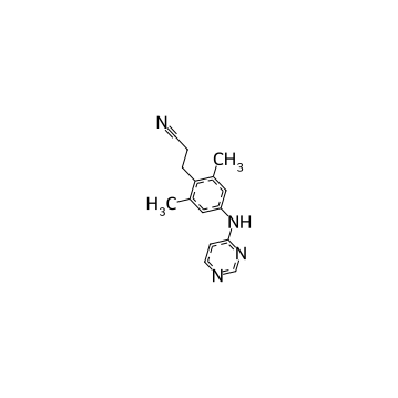 Cc1cc(Nc2ccncn2)cc(C)c1CCC#N